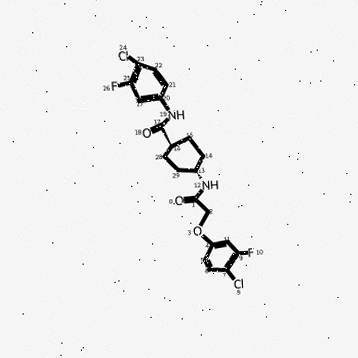 O=C(COc1ccc(Cl)c(F)c1)N[C@H]1CC[C@H](C(=O)Nc2ccc(Cl)c(F)c2)CC1